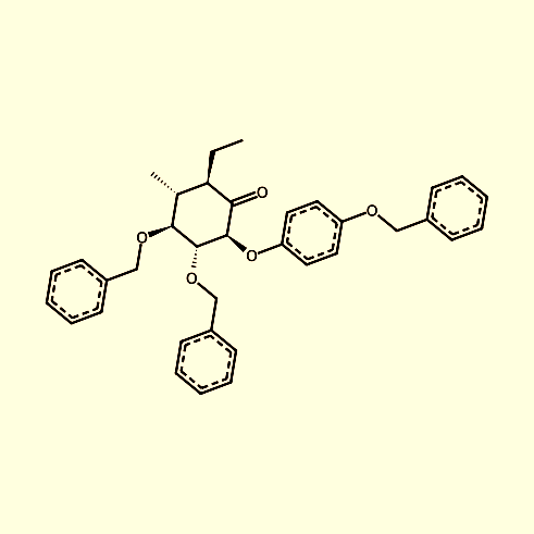 CC[C@H]1C(=O)[C@@H](Oc2ccc(OCc3ccccc3)cc2)[C@H](OCc2ccccc2)[C@@H](OCc2ccccc2)[C@@H]1C